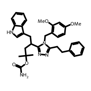 COc1ccc(Cn2c(CCc3ccccc3)nnc2C(Cc2c[nH]c3ccccc23)CC(C)(C)OC(N)=O)c(OC)c1